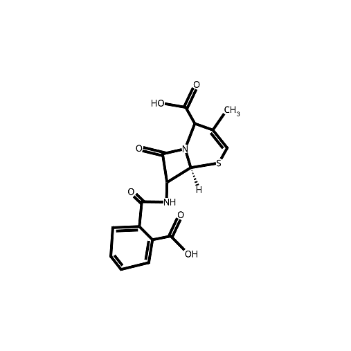 CC1=CS[C@H]2C(NC(=O)c3ccccc3C(=O)O)C(=O)N2C1C(=O)O